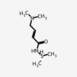 CN(C)C/C=C/C(=O)N[SH](C)C